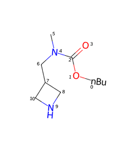 CCCCOC(=O)N(C)CC1CNC1